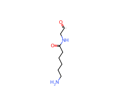 NCCCCCC(=O)NC[C]=O